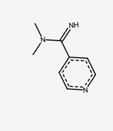 CN(C)C(=N)c1ccncc1